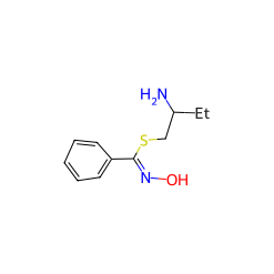 CCC(N)CSC(=NO)c1ccccc1